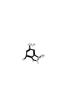 O=C(O)c1cc(Cl)c2c(c1)B(O)OC2